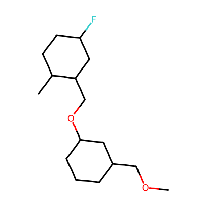 COCC1CCCC(OCC2CC(F)CCC2C)C1